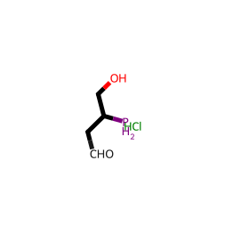 Cl.O=CCC(P)CO